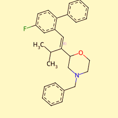 CC(C)/C(=C\c1cc(F)ccc1-c1ccccc1)C1CN(Cc2ccccc2)CCO1